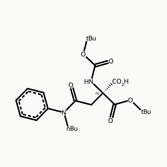 CCCCN(C(=O)C[C@](NC(=O)OC(C)(C)C)(C(=O)O)C(=O)OC(C)(C)C)c1ccccc1